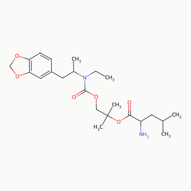 CCN(C(=O)OCC(C)(C)OC(=O)C(N)CC(C)C)C(C)Cc1ccc2c(c1)OCO2